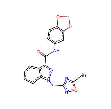 CC(C)c1nc(Cn2nc(C(=O)Nc3ccc4c(c3)OCO4)c3ccccc32)no1